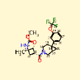 COC(=O)N[C@]1(C)C[C@H](C(=O)N2CCC3(c4cccc(OC(F)(F)F)c4)CC3C2)C1